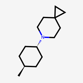 C[C@H]1CC[C@H](N2CCC3(CC2)CC3)CC1